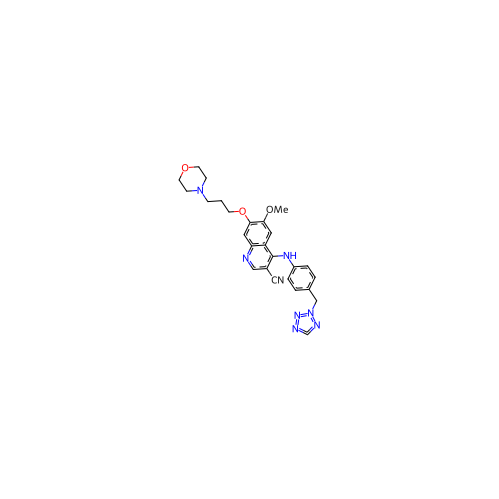 COc1cc2c(Nc3ccc(Cn4ncnn4)cc3)c(C#N)cnc2cc1OCCCN1CCOCC1